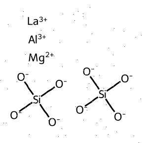 [Al+3].[La+3].[Mg+2].[O-][Si]([O-])([O-])[O-].[O-][Si]([O-])([O-])[O-]